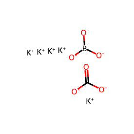 O=C([O-])[O-].[K+].[K+].[K+].[K+].[K+].[O-]B([O-])[O-]